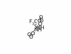 O=c1cc(C(F)(F)F)c2cc(NC(=S)NCc3ccc4c(c3)OCO4)ccc2o1